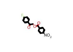 O=C(COC(=O)c1ccc([N+](=O)[O-])cc1)c1ccc(F)cc1